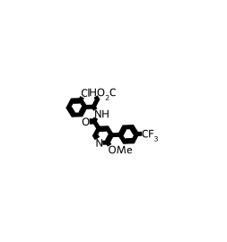 COc1ncc(C(=O)NC(CC(=O)O)c2ccccc2Cl)cc1-c1ccc(C(F)(F)F)cc1